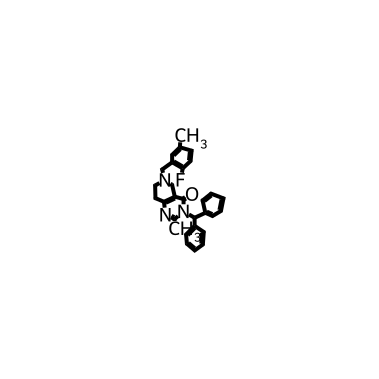 Cc1ccc(F)c(CN2CCc3nc(C)n(C(c4ccccc4)c4ccccc4)c(=O)c3C2)c1